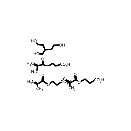 C=C(C)C(=O)OCCC(=O)O.C=C(C)C(=O)OCCC(=O)O.C=C(C)C(=O)OCCC(=O)O.OCCC(CO)CCO